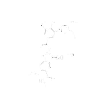 Br.CCOc1cc2c(cc1C(=O)NC)C(=N)N(CC(=O)c1cc(N3C[C@H](OC)[C@@H](OC)C3)c(OC)c(C(C)(C)C)c1)C2